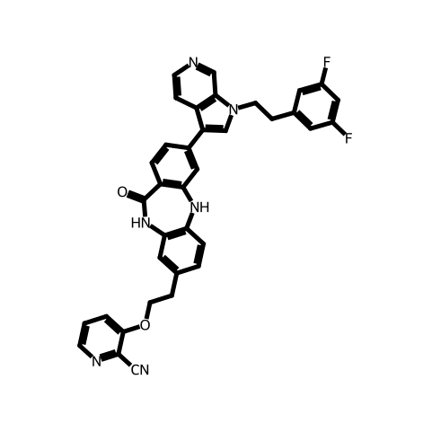 N#Cc1ncccc1OCCc1ccc2c(c1)NC(=O)c1ccc(-c3cn(CCc4cc(F)cc(F)c4)c4cnccc34)cc1N2